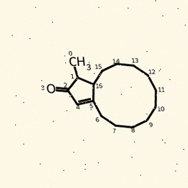 CC1C(=O)C=C2CCCCCCCCCCC21